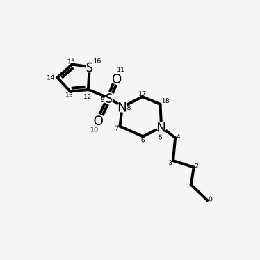 CCCCCN1CCN(S(=O)(=O)c2cccs2)CC1